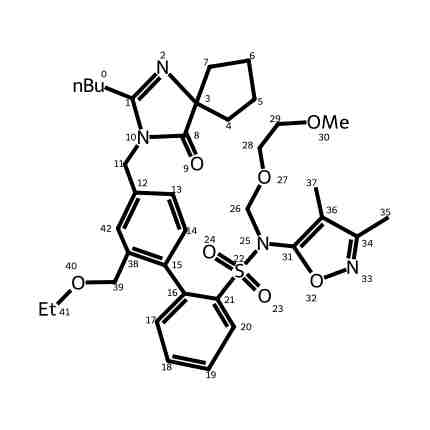 CCCCC1=NC2(CCCC2)C(=O)N1Cc1ccc(-c2ccccc2S(=O)(=O)N(COCCOC)c2onc(C)c2C)c(COCC)c1